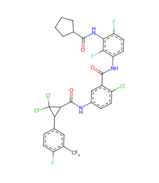 O=C(Nc1ccc(F)c(NC(=O)C2CCCC2)c1F)c1cc(NC(=O)C2C(c3ccc(F)c(C(F)(F)F)c3)C2(Cl)Cl)ccc1Cl